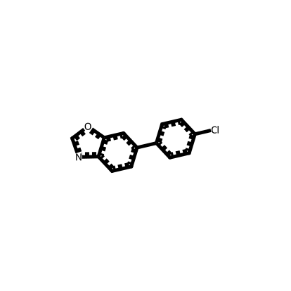 Clc1ccc(-c2ccc3ncoc3c2)cc1